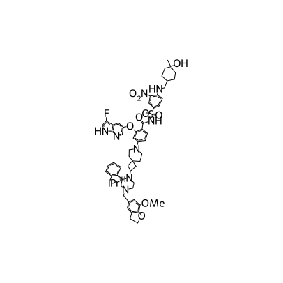 COc1cc(CN2CCN(C3CC4(CCN(c5ccc(C(=O)NS(=O)(=O)c6ccc(NCC7CCC(C)(O)CC7)c([N+](=O)[O-])c6)c(Oc6cnc7[nH]cc(F)c7c6)c5)CC4)C3)[C@H](c3ccccc3C(C)C)C2)cc2c1OCC2